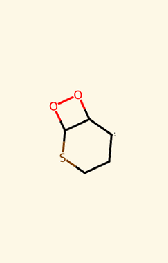 [C]1CCSC2OOC12